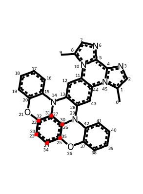 Cc1cnc2c3ncc(C)n3c3cc(N4c5ccccc5Oc5ccccc54)c(N4c5ccccc5Oc5ccccc54)cc3n12